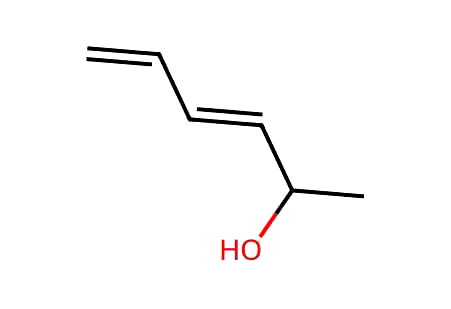 C=CC=CC(C)O